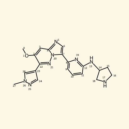 COc1cc2ncc(-c3cccc(NC4CCNC4)n3)n2nc1-c1cnn(C)c1